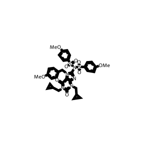 COc1ccc(Cn2c(N(S(=O)(=O)c3ccc(OC)cc3)S(=O)(=O)c3ccc(OC)cc3)nc3c2c(=O)n(CC2CC2)c(=O)n3CC2CC2)cc1